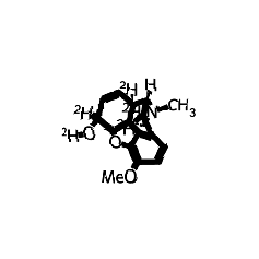 [2H]OC1([2H])C=C[C@@]2([2H])[C@@H]3N(C)CC[C@@]24c2c(ccc(OC)c2OC14)C3([2H])[2H]